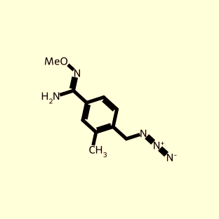 CO/N=C(\N)c1ccc(CN=[N+]=[N-])c(C)c1